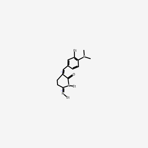 CC/N=C1/CC/C(=C/c2ccc(N(C)C)c(CC)c2)C(=O)N1CC